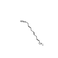 [CH2]C=CCC=CCC=CCCCCCC[CH2]